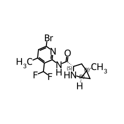 Cc1cc(Br)nc(NC(=O)[C@@H]2C[C@@]3(C)C[C@H]3N2)c1C(F)F